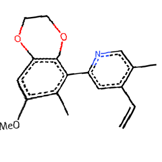 C=Cc1cc(-c2c(C)c(OC)cc3c2OCCO3)ncc1C